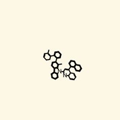 CC1=C(c2ccccc2-c2ccc3c4ccccc4n(C4=NC5C=CC=CC5C(c5cccc6ccccc56)=C4)c3c2C)CCC=C1